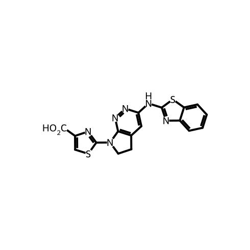 O=C(O)c1csc(N2CCc3cc(Nc4nc5ccccc5s4)nnc32)n1